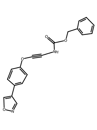 O=C(NC#COc1ccc(-c2cnoc2)cc1)OCc1ccccc1